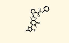 Cc1cc(F)c(-c2nc3sc(N4CCCC4C(=O)NCc4ccccc4)nc3c(=O)n2C)s1